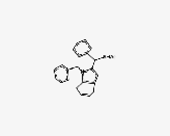 CC(=O)NC(c1ccccc1)c1cc2c(n1Cc1ccccc1)CC=CC2